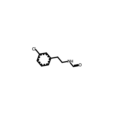 O=CNCCc1cccc(Cl)c1